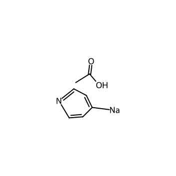 CC(=O)O.[Na][c]1ccncc1